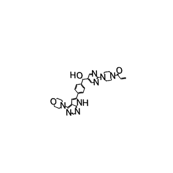 C=CC(=O)N1CCN(c2ncc(C(O)c3ccc(-c4cc5c(N6CCOCC6)ncnc5[nH]4)cc3)cn2)CC1